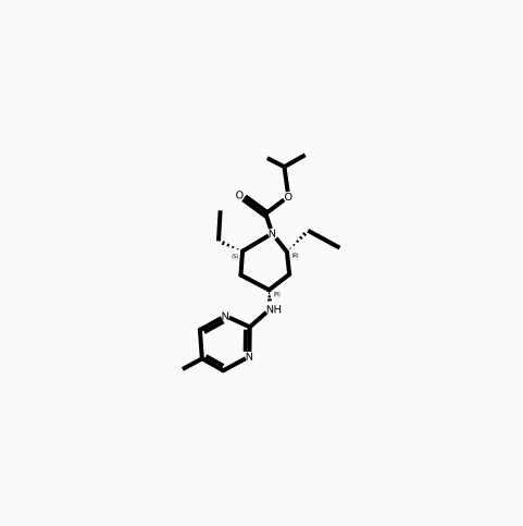 CC[C@@H]1C[C@H](Nc2ncc(C)cn2)C[C@H](CC)N1C(=O)OC(C)C